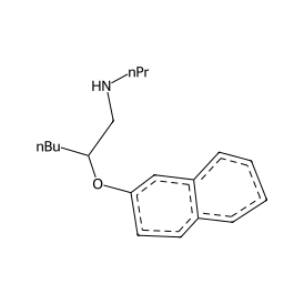 CCCCC(CNCCC)Oc1ccc2ccccc2c1